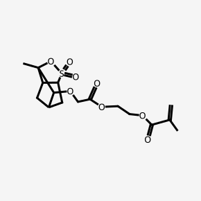 C=C(C)C(=O)OCCOC(=O)COC1C2CC3C(C2)S(=O)(=O)OC31C